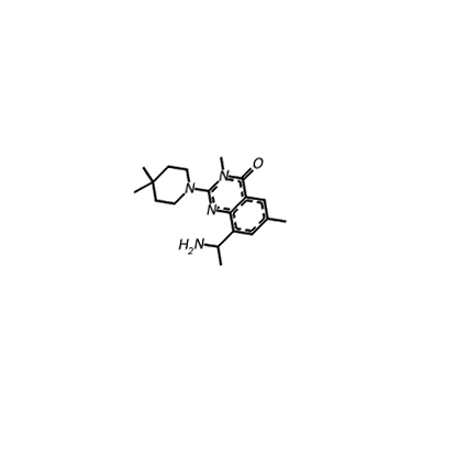 Cc1cc(C(C)N)c2nc(N3CCC(C)(C)CC3)n(C)c(=O)c2c1